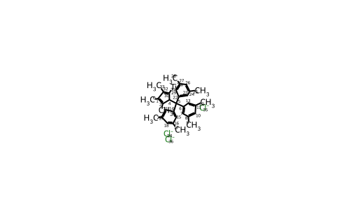 CC1=C(C)C(C(c2cc(C)cc(C)c2)(c2cc(C)cc(C)c2)c2cc(C)cc(C)c2)[C]([Ti+3])=C1C.[Cl-].[Cl-].[Cl-]